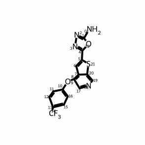 Nc1nnc(-c2cc3c(Oc4ccc(C(F)(F)F)cc4)cncc3s2)o1